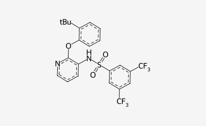 CC(C)(C)c1ccccc1Oc1ncccc1NS(=O)(=O)c1cc(C(F)(F)F)cc(C(F)(F)F)c1